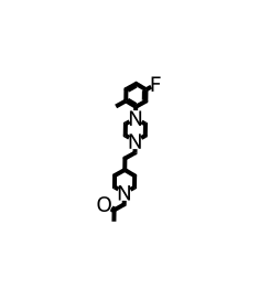 CC(=O)CN1CCC(CCN2CCN(c3cc(F)ccc3C)CC2)CC1